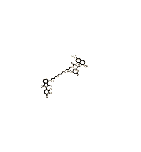 C[C@H]1C=C2C=C[C@H](C)[C@H](CC[C@@H]3C[C@@H](O)CC(=O)O3)[C@H]2[C@@H](OC(=O)NCCCOCCCOCCCNc2cccc3c2C(=O)N(C2CCC(=O)NC2=O)C3=O)C1